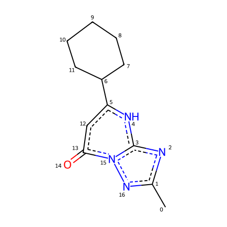 Cc1nc2[nH]c(C3CCCCC3)cc(=O)n2n1